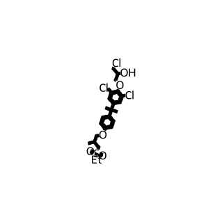 CCS(=O)(=O)CC(C)COc1ccc(C(C)(C)c2cc(Cl)c(OCC(O)CCl)c(Cl)c2)cc1